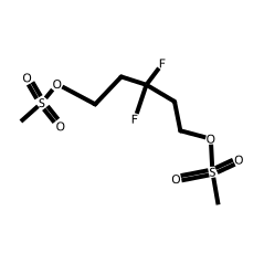 CS(=O)(=O)OCCC(F)(F)CCOS(C)(=O)=O